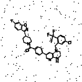 O=C(c1ccc(-c2cnc3c(c2)N(Cc2cc(Cl)ccc2C(F)(F)F)CCN3)cc1)N1CCC(c2noc3cc(F)ccc23)CC1